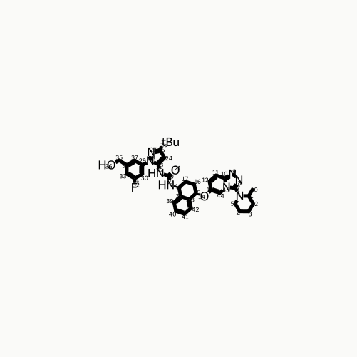 CC1CCCCN1c1nnc2ccc(O[C@@H]3CC[C@H](NC(=O)Nc4cc(C(C)(C)C)nn4-c4cc(F)cc(CO)c4)c4ccccc43)cn12